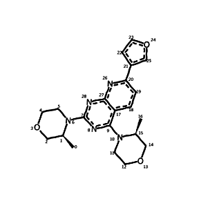 C[C@H]1COCCN1c1nc(N2CCOC[C@@H]2C)c2ccc(-c3ccoc3)nc2n1